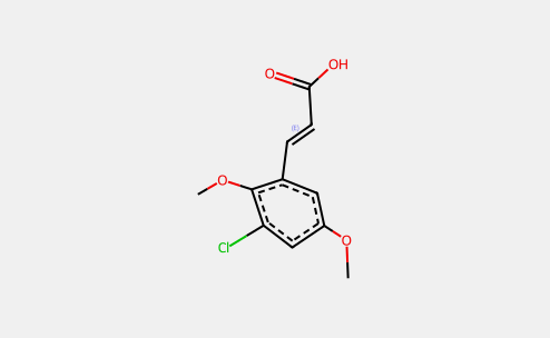 COc1cc(Cl)c(OC)c(/C=C/C(=O)O)c1